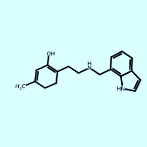 CC1=CC(O)=C(CCNCc2cccc3cc[nH]c23)CC1